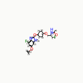 CC(=O)N[C@@H](CF)COC1CCC(Oc2nc3c(F)cc(OC4CC4)cc3n2C)CC1